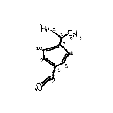 CC(S)c1ccc(C=O)cc1